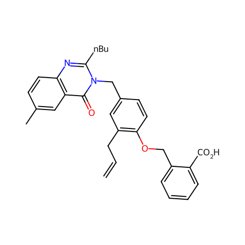 C=CCc1cc(Cn2c(CCCC)nc3ccc(C)cc3c2=O)ccc1OCc1ccccc1C(=O)O